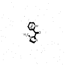 Cn1ccnc1C(=O)N1CC2CCC1CN2